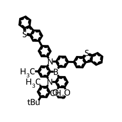 Cc1cc2c3c(c1)N(c1c(C)cc(C(C)(C)C)cc1C)c1c(ccc4c1OCCO4)B3c1cc(-c3ccc4c(c3)sc3ccccc34)ccc1N2c1ccc(-c2ccc3c(c2)sc2ccccc23)cc1